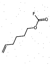 C=CCCCCOC(=O)F